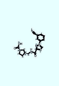 N#Cc1cccc(-n2cnc(C(=O)NC[C@H]3CCN(C(=O)O)C3)n2)c1